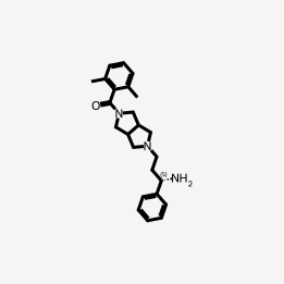 Cc1cccc(C)c1C(=O)N1CC2CN(CC[C@H](N)c3ccccc3)CC2C1